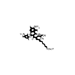 CCCCCCCCC=CCCCCCCC(CC(O)CO)C(=O)C(C(=O)Oc1c(I)cc(I)c(N)c1I)C(CCCC)c1c(I)cc(I)c(N)c1I